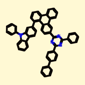 c1ccc(-c2ccc(-c3nc(-c4ccccc4)nc(-c4ccc5c(c4)c4ccccc4c4cccc(-c6ccc7c8ccccc8n(-c8ccccc8)c7c6)c45)n3)cc2)cc1